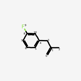 C=C(C)Cc1cc[c]c(F)c1